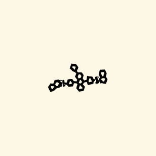 C[Si](C)(c1ccc(-c2c3ccccc3c(-c3ccc([Si](C)(C)c4cccc5ccccc45)cc3)c3ccc(-c4ccccc4)cc23)cc1)c1ccc2ccccc2c1